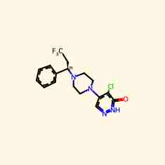 O=c1[nH]ncc(N2CCN([C@H](CC(F)(F)F)c3ccccc3)CC2)c1Cl